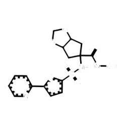 O=C(NO)C1(NS(=O)(=O)c2ccc(-c3ccccn3)s2)CC2OCOC2C1